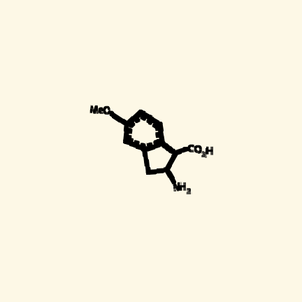 COc1ccc2c(c1)CC(N)C2C(=O)O